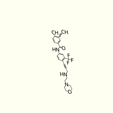 C#Cc1cc(C(=O)Nc2ccc(C#CCNCCN3CCOCC3)c(C(F)(F)F)c2)ccc1C